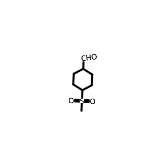 CS(=O)(=O)C1CCC(C=O)CC1